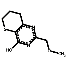 COCc1nc(O)c2c(n1)CCCS2